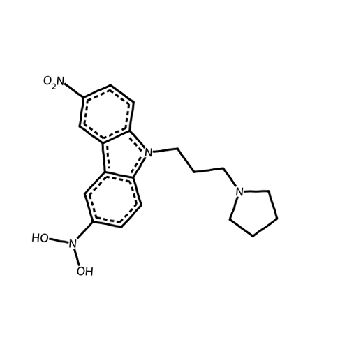 O=[N+]([O-])c1ccc2c(c1)c1cc(N(O)O)ccc1n2CCCN1CCCC1